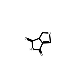 O=C1NC(=O)C2COC=C12